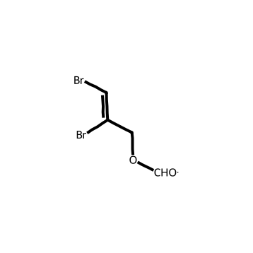 O=[C]OCC(Br)=CBr